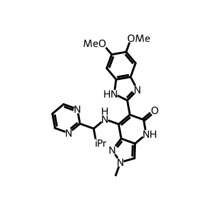 COc1cc2nc(-c3c(NC(c4ncccn4)C(C)C)c4nn(C)cc4[nH]c3=O)[nH]c2cc1OC